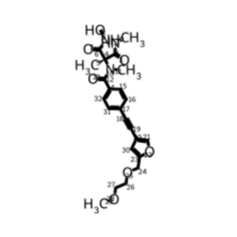 CNC(=O)[C@@](C)(C(=O)NO)N(C)C(=O)c1ccc(C#Cc2coc(COCCOC)c2)cc1